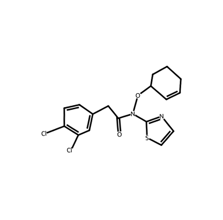 O=C(Cc1ccc(Cl)c(Cl)c1)N(OC1C=CCCC1)c1nccs1